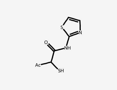 CC(=O)C(S)C(=O)Nc1nccs1